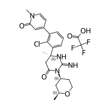 C[C@H]1C[C@@H](N2C(=N)N[C@](C)(c3cccc(-c4ccn(C)c(=O)c4)c3Cl)CC2=O)CCO1.O=C(O)C(F)(F)F